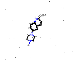 COc1ccc2cc(N3CCN(C)CC3)ccc2n1